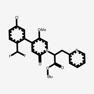 COc1cn(C(Cc2ccccn2)C(=O)OC(C)(C)C)c(=O)cc1-c1cc(Cl)ccc1C(F)F